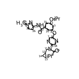 CC(C)Oc1cc(Oc2cnc(N(CC3CC3)C(=O)C(C)C)cn2)cc(C(=O)Nc2ccn(C)n2)c1